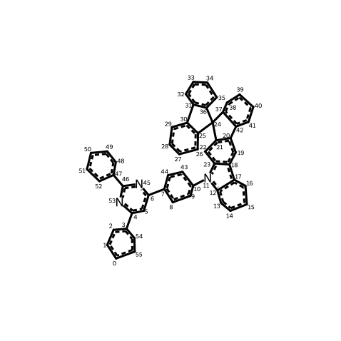 c1ccc(-c2cc(-c3ccc(-n4c5ccccc5c5cc6c(cc54)C4(c5ccccc5-c5ccccc54)c4ccccc4-6)cc3)nc(-c3ccccc3)n2)cc1